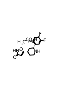 CC(=O)O.O=c1cc([C@H]2CCN[C@@H](c3cc(F)c(F)cc3F)C2)o[nH]1